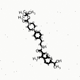 CC(O)c1ccc2c(N)c(C(=O)NCCc3ccc(N4CCN(C(=O)OC(C)(C)C)CC4)cc3)sc2n1